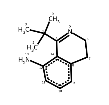 CC(C)(C)C1=NCCc2cccc(N)c21